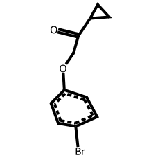 O=C(COc1ccc(Br)cc1)C1CC1